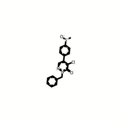 C[S+]([O-])c1ccc(-c2cnn(Cc3ccccc3)c(=O)c2Cl)cc1